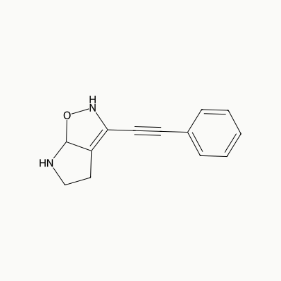 C(#Cc1ccccc1)C1=C2CCNC2ON1